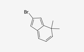 CC1(C)C=CC=C2C=C(Br)C=C21